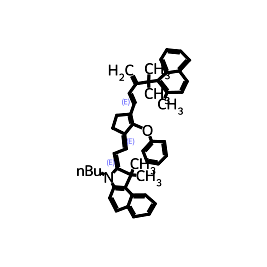 C=C(/C=C/C1=C(Oc2ccccc2)C(=C/C=C2/N(CCCC)c3ccc4ccccc4c3C2(C)C)/CC1)C(C)(C)c1c(C)ccc2ccccc12